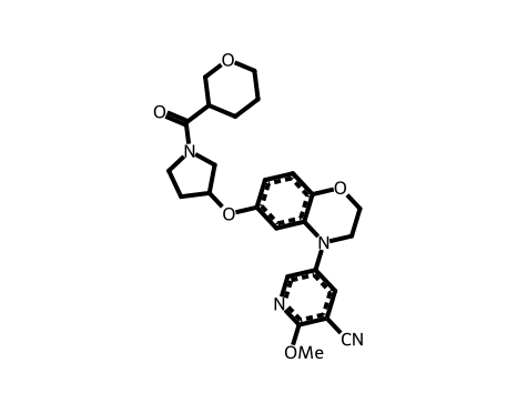 COc1ncc(N2CCOc3ccc(OC4CCN(C(=O)C5CCCOC5)C4)cc32)cc1C#N